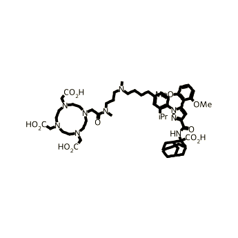 COc1cccc(OC)c1-c1cc(C(=O)NC2(C(=O)O)C3CC4CC(C3)CC2C4)nn1-c1ccc(CCCCN(C)CCCN(C)C(=O)CN2CCN(CC(=O)O)CCN(CC(=O)O)CCN(CC(=O)O)CC2)cc1C(C)C